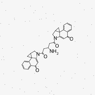 NC(CC(=O)N1CC2CC23C1=CC(=O)c1ccccc13)CC(=O)N1CC2CC23C1=CC(=O)c1ccccc13